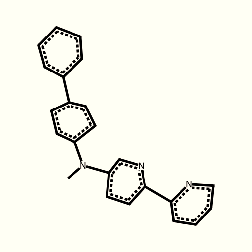 CN(c1ccc(-c2ccccc2)cc1)c1ccc(-c2ccccn2)nc1